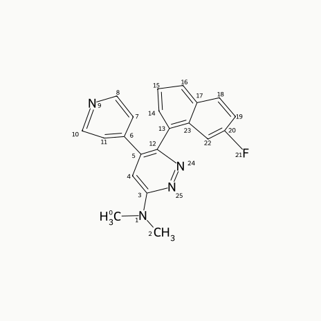 CN(C)c1cc(-c2ccncc2)c(-c2cccc3ccc(F)cc23)nn1